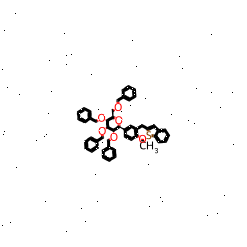 COc1ccc([C@@H]2O[C@H](COCc3ccccc3)[C@@H](OCc3ccccc3)[C@H](OCc3ccccc3)[C@H]2OCc2ccccc2)cc1Cc1cc2ccccc2s1